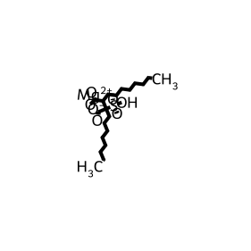 CCCCCCCCC(C(=O)[O-])C(CCCCCCCC)(C(=O)[O-])S(=O)(=O)O.[Mg+2]